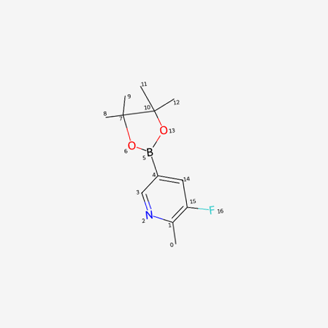 Cc1ncc(B2OC(C)(C)C(C)(C)O2)cc1F